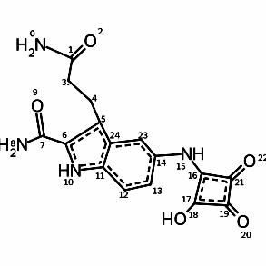 NC(=O)[CH]Cc1c(C(N)=O)[nH]c2ccc(Nc3c(O)c(=O)c3=O)cc12